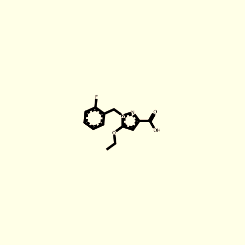 CCOc1cc(C(=O)O)nn1Cc1ccccc1F